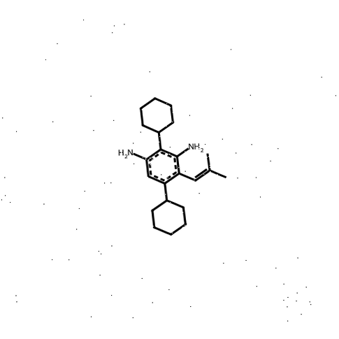 CC(C)=Cc1c(C2CCCCC2)cc(N)c(C2CCCCC2)c1N